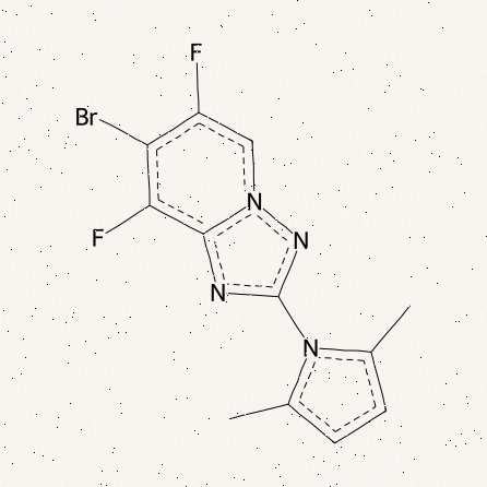 Cc1ccc(C)n1-c1nc2c(F)c(Br)c(F)cn2n1